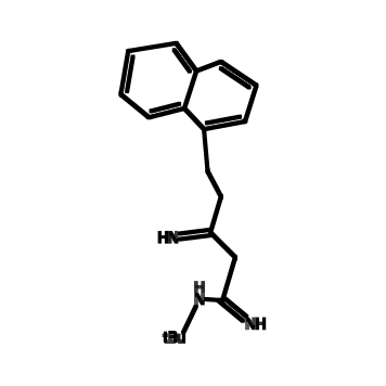 CC(C)(C)NC(=N)CC(=N)CCc1cccc2ccccc12